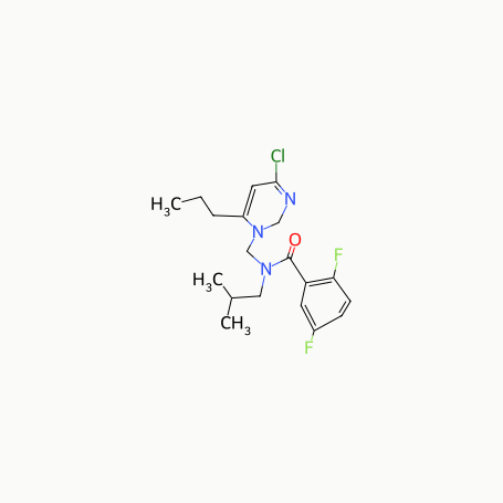 CCCC1=CC(Cl)=NCN1CN(CC(C)C)C(=O)c1cc(F)ccc1F